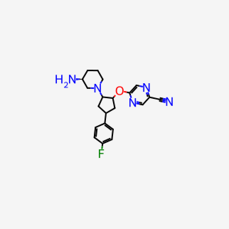 N#Cc1cnc(OC2CC(c3ccc(F)cc3)CC2N2CCC[C@H](N)C2)cn1